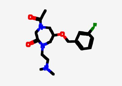 CC(=O)N1CC(=O)N(CCN(C)C)CC(OCc2cccc(F)c2)C1